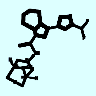 CN1[C@@H]2COC[C@H]1C[C@@H](NC(=O)c1cn(-c3cnn(C(F)F)c3)c3ccccc13)C2